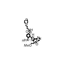 CCCOc1ccc(S(=O)(=O)NCCCN2CCOCC2)cc1-c1nc2c([nH]1)c1nncn1c(=O)n2CCOC